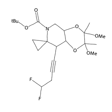 COC1(C)OC2CN(C(=O)OC(C)(C)C)C3(CC3)C(C#CCC(F)F)C2OC1(C)OC